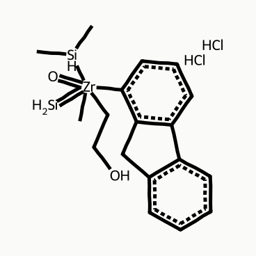 C[SiH](C)[Zr]([CH3])(=[O])(=[SiH2])([CH2]CO)[c]1cccc2c1Cc1ccccc1-2.Cl.Cl